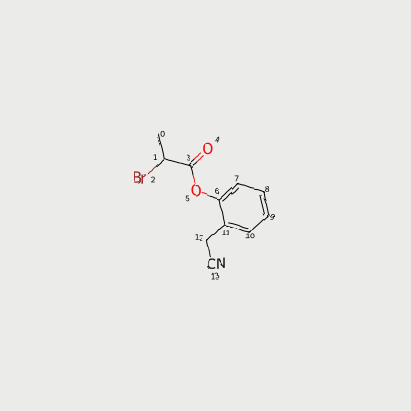 CC(Br)C(=O)Oc1ccccc1CC#N